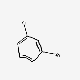 CCCc1c[c]cc(Cl)c1